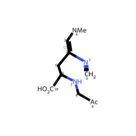 C=N/C(=C\NC)CC(NCC(C)=O)C(=O)O